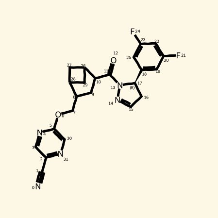 N#Cc1cnc(OCC2CC(C(=O)N3N=CC[C@@H]3c3cc(F)cc(F)c3)C3CC2C3)cn1